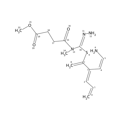 C=C/C=C(\C=C/N)C(=C)S/C(=N\N)N(C)C(=O)CCC(=O)OC